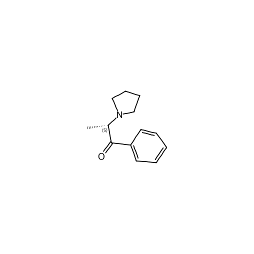 C[C@@H](C(=O)c1ccccc1)N1CCCC1